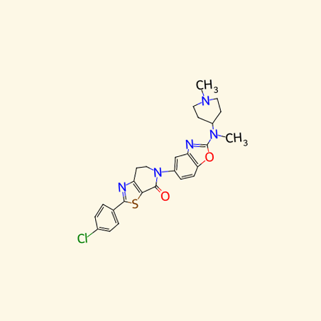 CN1CCC(N(C)c2nc3cc(N4CCc5nc(-c6ccc(Cl)cc6)sc5C4=O)ccc3o2)CC1